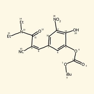 CCC(C)OC(=O)Oc1cc(C=C(C#N)C(=O)N(CC)CC)cc([N+](=O)[O-])c1O